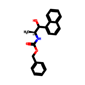 C[C@H](NC(=O)OCc1ccccc1)C(O)c1cccc2ccccc12